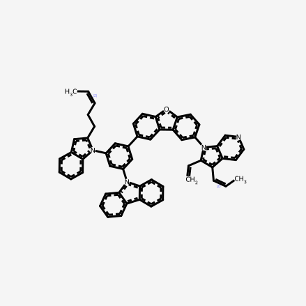 C=Cc1c(/C=C\C)c2ccncc2n1-c1ccc2oc3ccc(-c4cc(-n5c(CC/C=C\C)cc6ccccc65)cc(-n5c6ccccc6c6ccccc65)c4)cc3c2c1